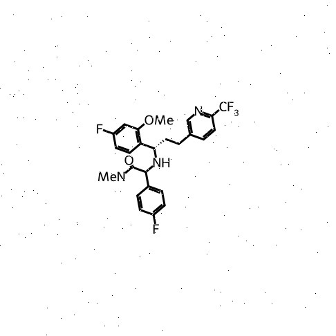 CNC(=O)C(N[C@@H](CCc1ccc(C(F)(F)F)nc1)c1ccc(F)cc1OC)c1ccc(F)cc1